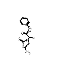 Cc1nn(C(=O)C(=O)Oc2ccccc2)c(=S)s1